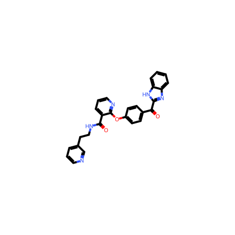 O=C(c1ccc(Oc2ncccc2C(=O)NCCc2cccnc2)cc1)c1nc2ccccc2[nH]1